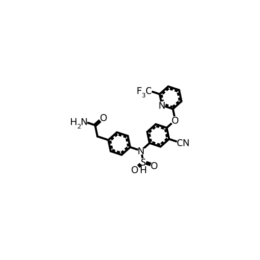 N#Cc1cc(N(c2ccc(CC(N)=O)cc2)[SH](=O)=O)ccc1Oc1cccc(C(F)(F)F)n1